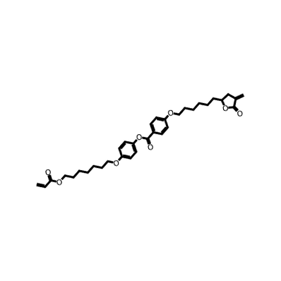 C=CC(=O)OCCCCCCCOc1ccc(OC(=O)c2ccc(OCCCCCCC3CC(=C)C(=O)O3)cc2)cc1